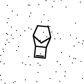 C1=CC2C3CCC(C3)C12